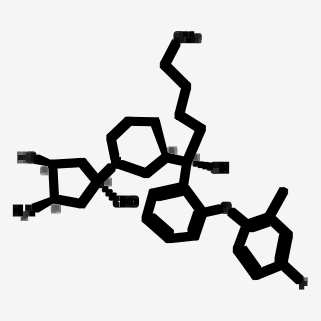 COCCCC[C@@](O)(c1ccccc1Oc1ccc(F)cc1C)[C@@H]1CCCN([C@@]2(C=O)C[C@@H](N)[C@@H](O)C2)C1